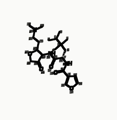 CC(C)C(C)(C)C[C@H](NC(=O)c1ccoc1)C(=O)NC1C(=O)COC1CCN(C)C